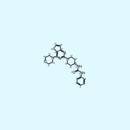 O=C(Nc1ccccc1)NC1CCN(c2nc(N3CCOCC3)c3sccc3n2)CC1